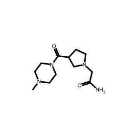 CN1CCN(C(=O)C2CCN(CC(N)=O)C2)CC1